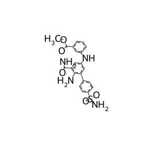 COC(=O)c1cccc(Nc2cc(C(N)=O)c(N)c(-c3ccc(S(N)(=O)=O)cc3)c2)c1